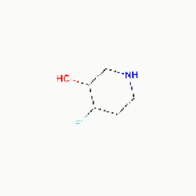 OC1CNCCC1F